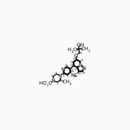 C[C@@H]1CN(C(=O)O)CCN1c1ccc(-c2cc(OCC(C)(C)O)cn3ncc(C#N)c23)cn1